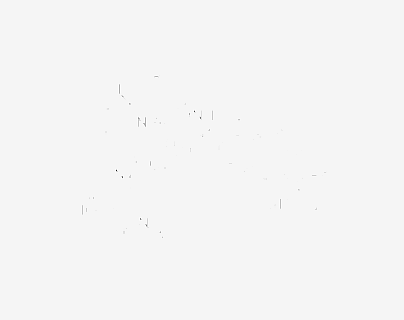 CC(=O)N1CC(NC(=O)[C@@H]2CC[C@@H]3CCCC(NC(=O)c4cc5cc(C(C)(F)F)ccc5s4)C(=O)N32)[C@@H](O)C1